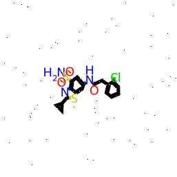 NS(=O)(=O)c1cc(NC(=O)Cc2ccccc2Cl)cc2sc(C3CC3)nc12